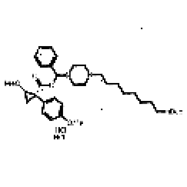 CCCCCCCCCCCCCCCCCCN1CCN(C(OC(=O)[C@]2(c3ccc(OC)cc3)C[C@@H]2OC)c2ccccc2)CC1.Cl.Cl